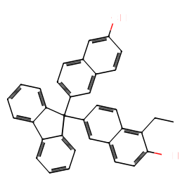 CCc1c(O)ccc2cc(C3(c4ccc5cc(O)ccc5c4)c4ccccc4-c4ccccc43)ccc12